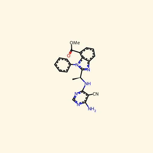 COC(=O)c1cccc2nc([C@H](C)Nc3ncnc(N)c3C#N)n(-c3ccccc3)c12